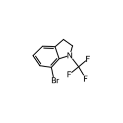 FC(F)(F)N1CCc2cccc(Br)c21